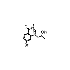 CC(O)CNc1cc(Br)ccc1C(=O)N(C)C